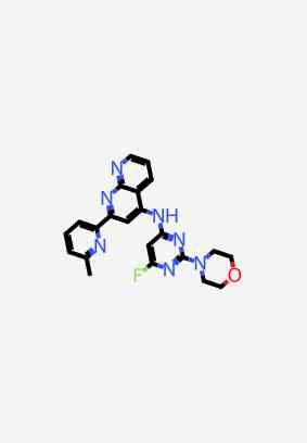 Cc1cccc(-c2cc(Nc3cc(F)nc(N4CCOCC4)n3)c3cccnc3n2)n1